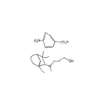 CN(CCCO)C1C2(C)CCC(C2)C1(C)C.O=C(O)c1ccc([N+](=O)[O-])cc1